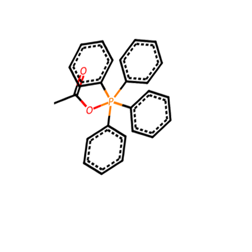 CC(=O)OP(c1ccccc1)(c1ccccc1)(c1ccccc1)c1ccccc1